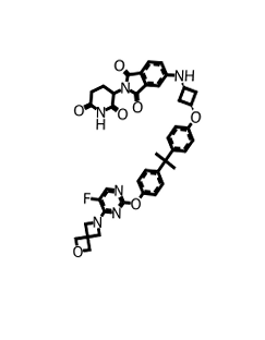 CC(C)(c1ccc(Oc2ncc(F)c(N3CC4(COC4)C3)n2)cc1)c1ccc(O[C@H]2C[C@@H](Nc3ccc4c(c3)C(=O)N(C3CCC(=O)NC3=O)C4=O)C2)cc1